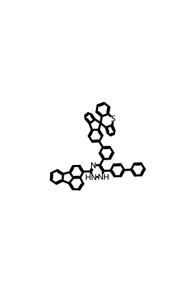 c1ccc(-c2ccc(C3=C(c4cccc(-c5ccc6c(c5)C5(c7ccccc7Sc7ccccc75)c5ccccc5-6)c4)N=C(c4ccc5c6c(cccc46)-c4ccccc4-5)NN3)cc2)cc1